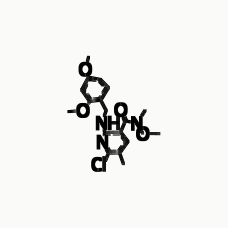 COc1ccc(CNc2nc(Cl)c(C)cc2C(=O)N(C)OC)c(OC)c1